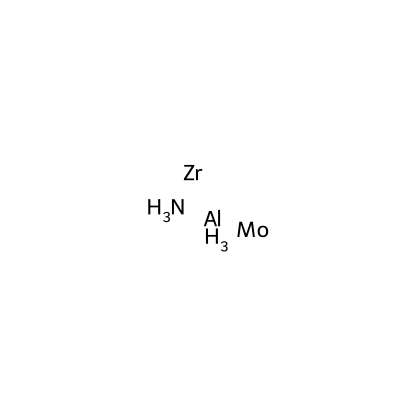 N.[AlH3].[Mo].[Zr]